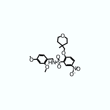 COc1ccc(CNS(=O)(=O)c2cc([N+](=O)[O-])ccc2OCC2(C)CCOCC2)c(OC)c1